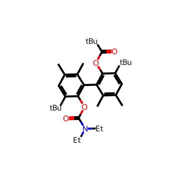 CCN(CC)C(=O)Oc1c(C(C)(C)C)cc(C)c(C)c1-c1c(C)c(C)cc(C(C)(C)C)c1OC(=O)C(C)(C)C